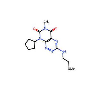 CNCCNc1nnc2c(n1)c(=O)n(C)c(=O)n2C1CCCC1